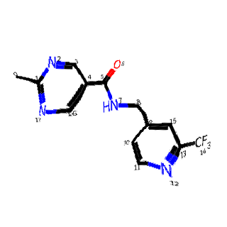 Cc1ncc(C(=O)NCc2ccnc(C(F)(F)F)c2)cn1